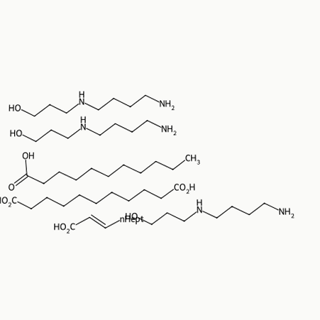 CCCCCCCC=CC(=O)O.CCCCCCCCCCC(=O)O.NCCCCNCCCO.NCCCCNCCCO.NCCCCNCCCO.O=C(O)CCCCCCCCCC(=O)O